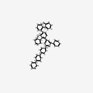 c1ccc(-c2cc(-c3ccc(-c4cccc5sc6ccccc6c45)c4oc5ccccc5c34)nc(-c3ccc(-c4ccc(-c5cccnc5)cc4)cc3)n2)cc1